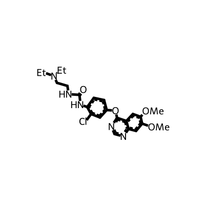 CCN(CC)CCNC(=O)Nc1ccc(Oc2ncnc3cc(OC)c(OC)cc23)cc1Cl